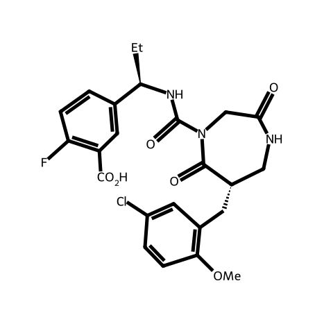 CC[C@@H](NC(=O)N1CC(=O)NC[C@H](Cc2cc(Cl)ccc2OC)C1=O)c1ccc(F)c(C(=O)O)c1